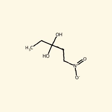 CCC(O)(O)CC[N+](=O)[O-]